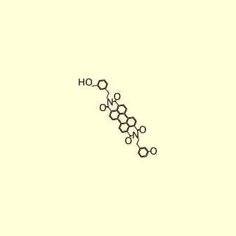 COc1cccc(CCN2C(=O)c3ccc4c5ccc6c7c(ccc(c8ccc(c3c48)C2=O)c75)C(=O)N(CCc2cccc(CO)c2)C6=O)c1